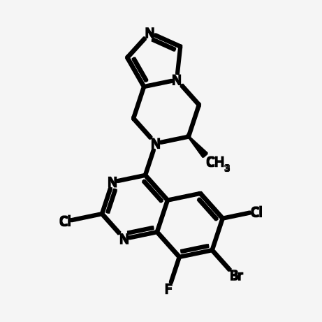 C[C@@H]1Cn2cncc2CN1c1nc(Cl)nc2c(F)c(Br)c(Cl)cc12